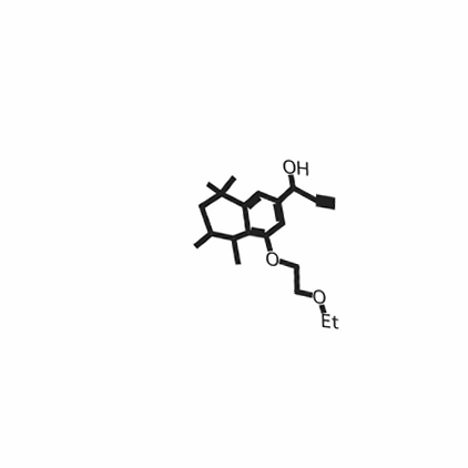 C#CC(O)c1cc(OCCOCC)c2c(c1)C(C)(C)CC(C)C2C